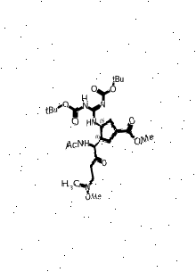 COC(=O)C1C[C@H](NC(=NC(=O)OC(C)(C)C)NC(=O)OC(C)(C)C)[C@H](C(NC(C)=O)C(=O)CCN(C)OC)C1